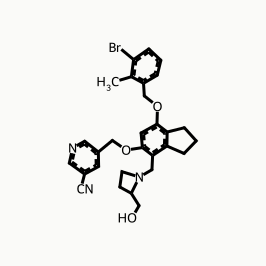 Cc1c(Br)cccc1COc1cc(OCc2cncc(C#N)c2)c(CN2CCC2CO)c2c1CCC2